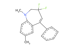 Cc1ccc2c(c1)C(c1ccccc1)=CC(F)(F)CN2C